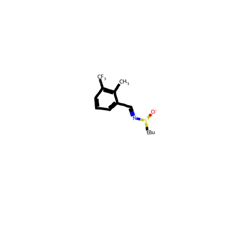 Cc1c(/C=N/[S+]([O-])C(C)(C)C)cccc1C(F)(F)F